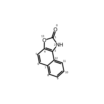 O=c1[nH]c2c(ccc3ccccc32)o1